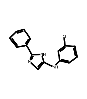 Clc1cccc(Nc2cnc(-c3ccccc3)[nH]2)c1